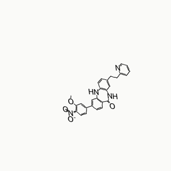 COc1cc(-c2ccc3c(c2)Nc2ccc(CCc4ccccn4)cc2NC3=O)ccc1[N+](=O)[O-]